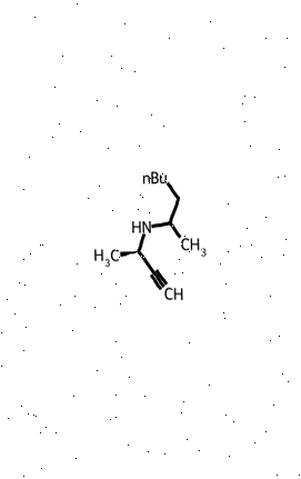 C#C[C@@H](C)NC(C)CCCCC